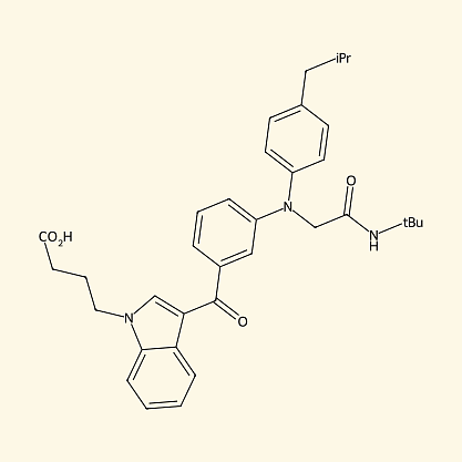 CC(C)Cc1ccc(N(CC(=O)NC(C)(C)C)c2cccc(C(=O)c3cn(CCCC(=O)O)c4ccccc34)c2)cc1